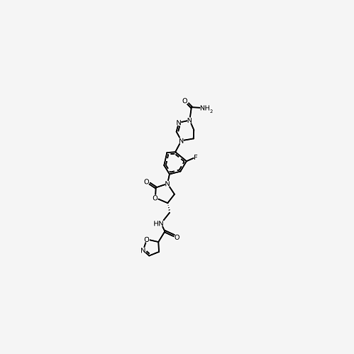 NC(=O)N1CCN(c2ccc(N3C[C@H](CNC(=O)C4CC=NO4)OC3=O)cc2F)C=N1